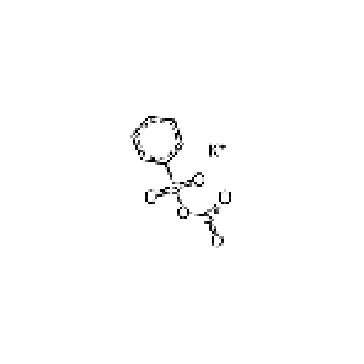 O=[S-](=O)OS(=O)(=O)c1ccccc1.[K+]